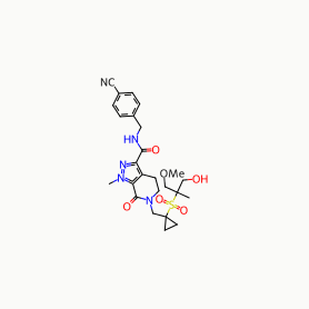 COCC(C)(CO)S(=O)(=O)C1(CN2CCc3c(C(=O)NCc4ccc(C#N)cc4)nn(C)c3C2=O)CC1